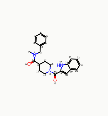 CN(Cc1ccccc1)C(=O)C1CCN(C(=O)c2cc3ccccc3[nH]2)CC1